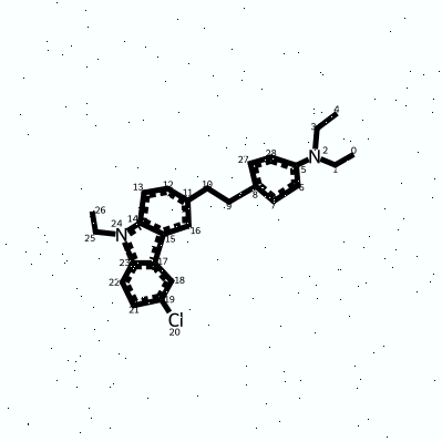 CCN(CC)c1ccc(CCc2ccc3c(c2)c2cc(Cl)ccc2n3CC)cc1